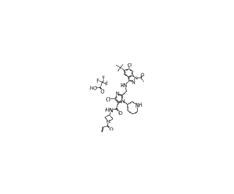 C=CC(=O)N1CC(NC(=O)c2c(Cl)nc(CNc3nn(C(C)=O)c4cc(Cl)c(C(C)(C)C)cc34)n2C2CCCNC2)C1.O=C(O)C(F)(F)F